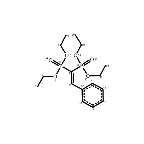 CCOP(=O)(OCC)C(=Cc1ccccc1)P(=O)(OCC)OCC